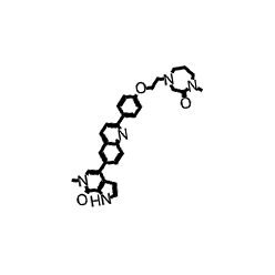 CN1CCCN(CCOc2ccc(-c3ccc4cc(-c5cn(C)c(=O)c6[nH]ccc56)ccc4n3)cc2)CC1=O